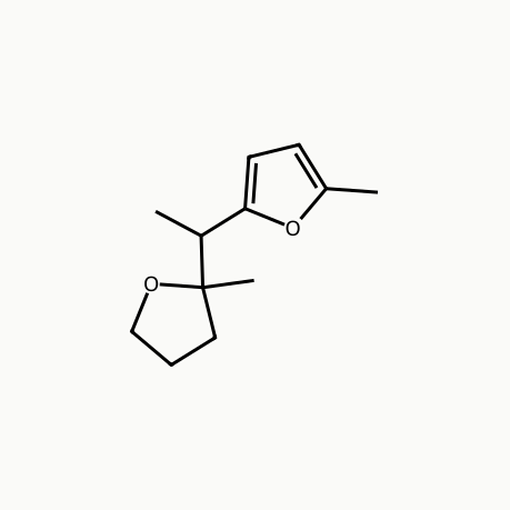 Cc1ccc(C(C)C2(C)CCCO2)o1